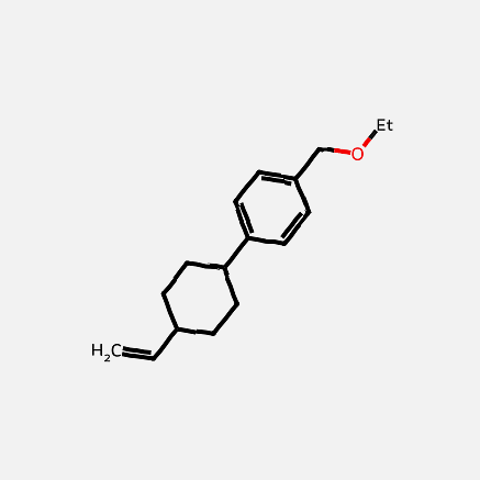 C=CC1CCC(c2ccc(COCC)cc2)CC1